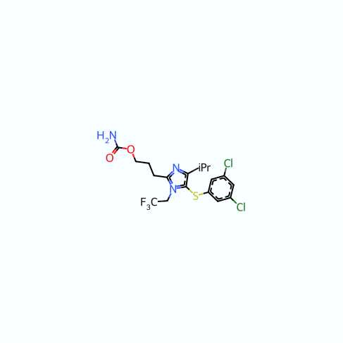 CC(C)c1nc(CCCOC(N)=O)n(CC(F)(F)F)c1Sc1cc(Cl)cc(Cl)c1